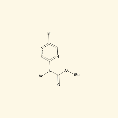 CC(=O)N(C(=O)OC(C)(C)C)c1ccc(Br)cn1